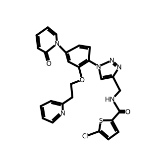 O=C(NCc1cn(-c2ccc(-n3ccccc3=O)cc2OCCc2ccccn2)nn1)c1ccc(Cl)s1